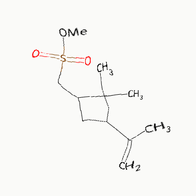 C=C(C)C1CC(CS(=O)(=O)OC)C1(C)C